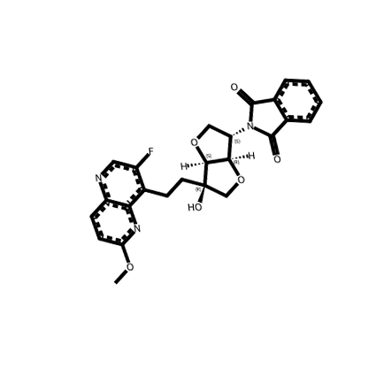 COc1ccc2ncc(F)c(CC[C@@]3(O)CO[C@@H]4[C@@H](N5C(=O)c6ccccc6C5=O)CO[C@@H]43)c2n1